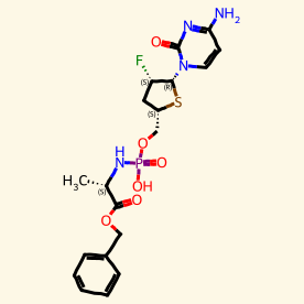 C[C@H](NP(=O)(O)OC[C@@H]1C[C@H](F)[C@H](n2ccc(N)nc2=O)S1)C(=O)OCc1ccccc1